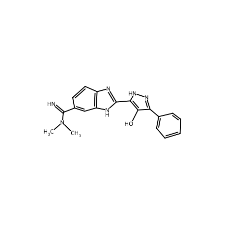 CN(C)C(=N)c1ccc2nc(-c3[nH]nc(-c4ccccc4)c3O)[nH]c2c1